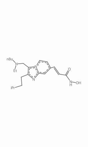 CCCCN(CC)Cc1c(CCC(C)C)nc2cc(C=CC(=O)NO)ccn12